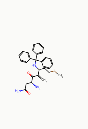 C=C(C(=O)[C@@H](N)CC(N)=O)[C@H](CCSC)NC(c1ccccc1)(c1ccccc1)c1ccccc1